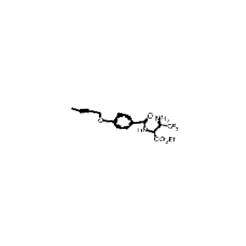 CC#CCOc1ccc(C(=O)N[C@H](C(=O)OCC)[C@@H](N)C(F)(F)F)cc1